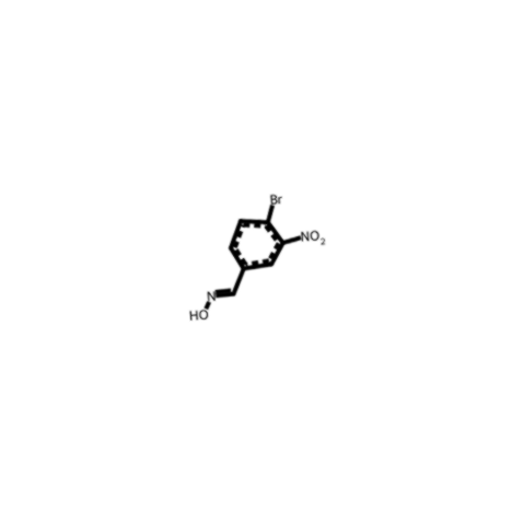 O=[N+]([O-])c1cc(/C=N/O)ccc1Br